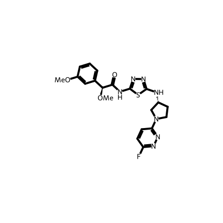 COc1cccc([C@H](OC)C(=O)Nc2nnc(N[C@@H]3CCN(c4ccc(F)nn4)C3)s2)c1